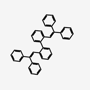 C(=C(c1ccccc1)c1ccccc1)c1ccccc1-c1ccccc1C=C(c1ccccc1)c1ccccc1